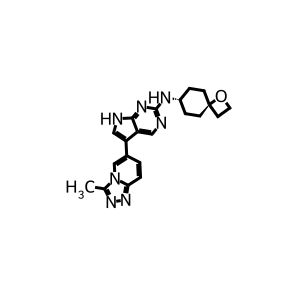 Cc1nnc2ccc(-c3c[nH]c4nc(N[C@H]5CC[C@@]6(CCO6)CC5)ncc34)cn12